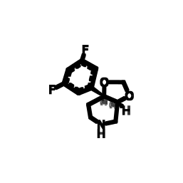 Fc1cc(F)cc([C@]23CCNC[C@H]2OCO3)c1